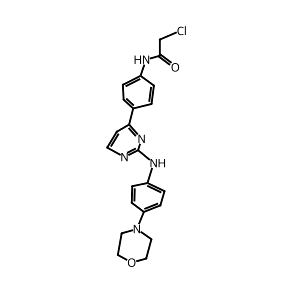 O=C(CCl)Nc1ccc(-c2ccnc(Nc3ccc(N4CCOCC4)cc3)n2)cc1